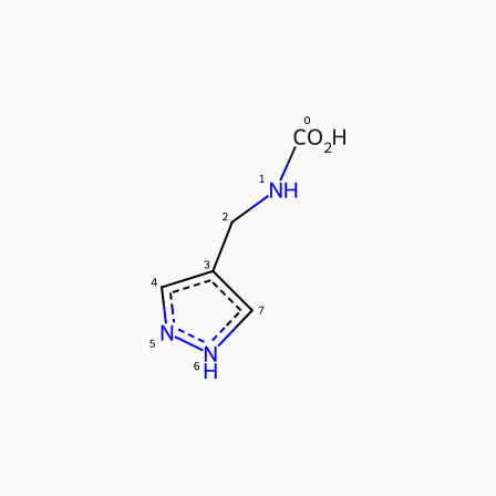 O=C(O)NCc1cn[nH]c1